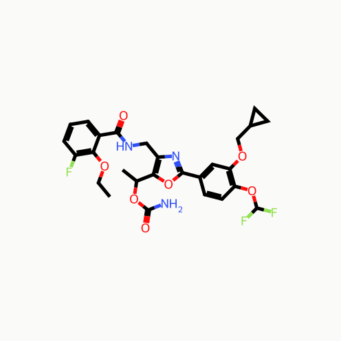 CCOc1c(F)cccc1C(=O)NCc1nc(-c2ccc(OC(F)F)c(OCC3CC3)c2)oc1C(C)OC(N)=O